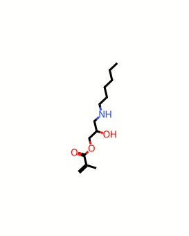 C=C(C)C(=O)OCC(O)CNCCCCCC